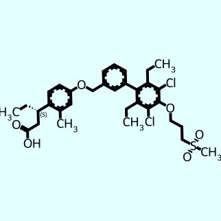 CCc1c(Cl)c(OCCCS(C)(=O)=O)c(Cl)c(CC)c1-c1cccc(COc2ccc([C@@H](CC)CC(=O)O)c(C)c2)c1